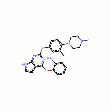 Cc1cc(Nc2nc(Oc3ccccc3N)c3cc[nH]c3n2)ccc1N1CCN(C)CC1